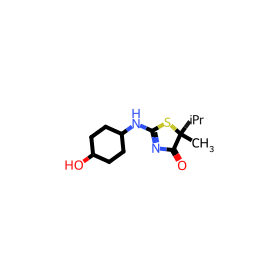 CC(C)C1(C)SC(NC2CCC(O)CC2)=NC1=O